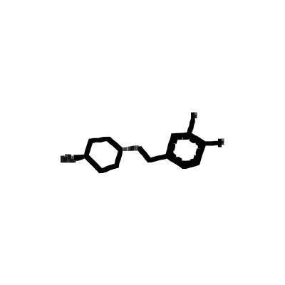 CCCC[C@H]1CC[C@H](CCc2ccc(F)c(F)c2)CC1